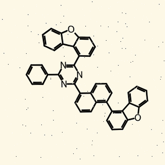 c1ccc(-c2nc(-c3cccc4c(-c5cccc6oc7ccccc7c56)cccc34)nc(-c3cccc4oc5ccccc5c34)n2)cc1